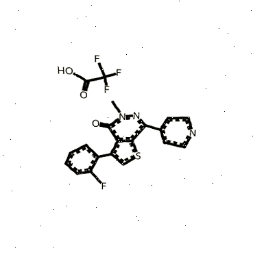 Cn1nc(-c2ccncc2)c2scc(-c3ccccc3F)c2c1=O.O=C(O)C(F)(F)F